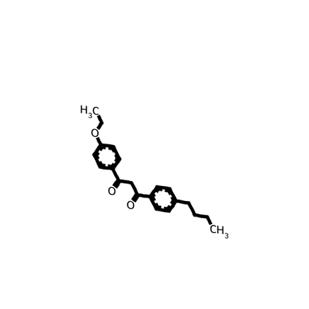 CCCCc1ccc(C(=O)CC(=O)c2ccc(OCC)cc2)cc1